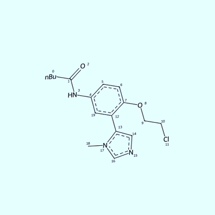 CCCCC(=O)Nc1ccc(OCCCl)c(-c2cncn2C)c1